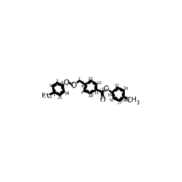 CCc1ccc(OOCc2ccc(C(=O)Oc3ccc(C)cc3)cc2)cc1